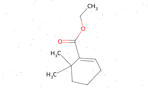 CCOC(=O)C1=CCCCC1(C)C